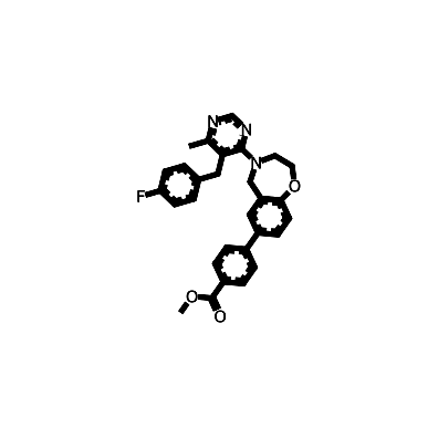 COC(=O)c1ccc(-c2ccc3c(c2)CN(c2ncnc(C)c2Cc2ccc(F)cc2)CCO3)cc1